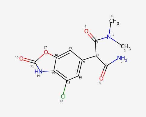 CN(C)C(=O)C(C(N)=O)c1cc(Cl)c2[nH]c(=O)oc2c1